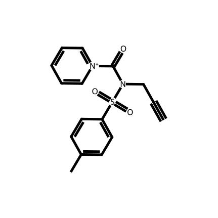 C#CCN(C(=O)[n+]1ccccc1)S(=O)(=O)c1ccc(C)cc1